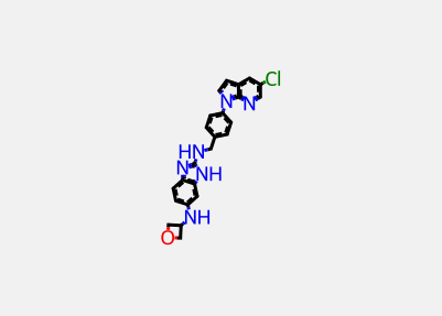 Clc1cnc2c(ccn2-c2ccc(CNc3nc4ccc(NC5COC5)cc4[nH]3)cc2)c1